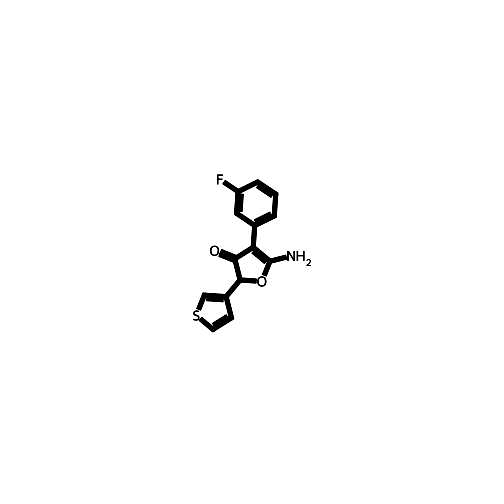 NC1=C(c2cccc(F)c2)C(=O)C(c2ccsc2)O1